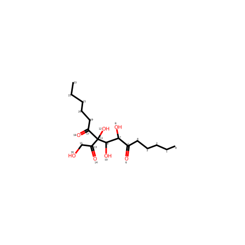 CCCCCC(=O)C(O)C(O)C(O)(C(=O)CO)C(=O)CCCCC